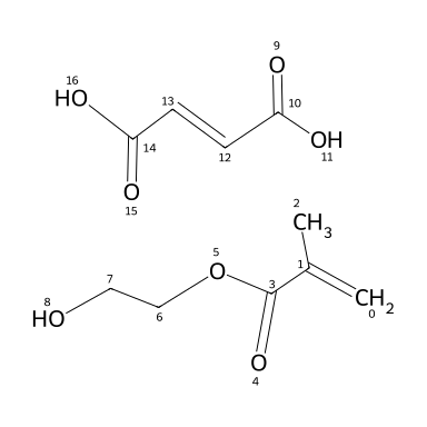 C=C(C)C(=O)OCCO.O=C(O)/C=C/C(=O)O